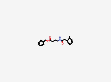 CC1C=CC=CC1CC(=O)NCCCC(=O)OCc1ccccc1